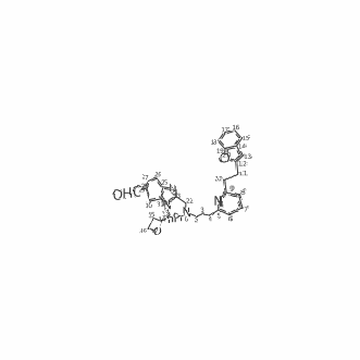 CCCN(CCCc1cccc(CCc2cc3ccccc3o2)n1)Cc1nc2ccc(C=O)cc2n1CC1CCO1